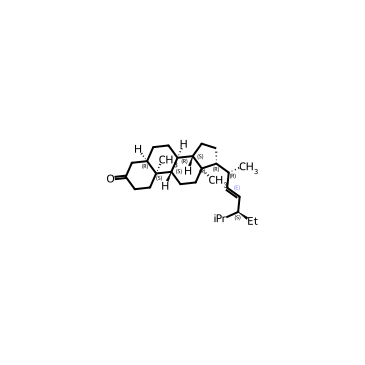 CC[C@H](/C=C/[C@@H](C)[C@H]1CC[C@H]2[C@@H]3CC[C@@H]4CC(=O)CC[C@]4(C)[C@H]3CC[C@]12C)C(C)C